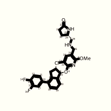 COc1nc(O[C@H]2CCc3c(-c4ccc(F)c(F)c4)cccc32)c(Cl)cc1CNC[C@@H]1CCC(=O)N1